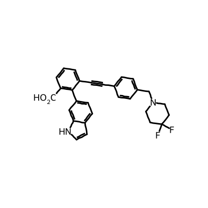 O=C(O)c1cccc(C#Cc2ccc(CN3CCC(F)(F)CC3)cc2)c1-c1ccc2cc[nH]c2c1